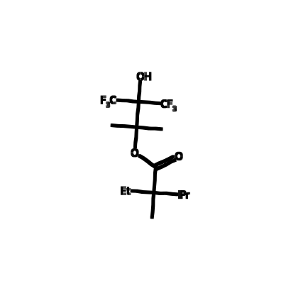 CCC(C)(C(=O)OC(C)(C)C(O)(C(F)(F)F)C(F)(F)F)C(C)C